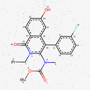 CC(C)Cn1c(N(C)C(=O)OC(C)(C)C)c(-c2cccc(F)c2)c2cc(O)ccc2c1=O